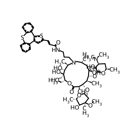 CC[C@H]1OC(=O)[C@H](C)[C@@H](O[C@H]2C[C@@](C)(OC)[C@@H](O)[C@H](C)O2)[C@H](C)[C@@H](O[C@@H]2O[C@H](C)C[C@H](N(C)C)[C@H]2O)[C@](C)(O)C[C@@H](C)CN(CCCNC(=O)/C=C/c2cc3c(s2)-c2ccccc2Sc2ccccc2-3)[C@H](C)[C@@H](O)[C@]1(C)O